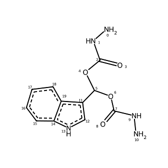 NNC(=O)OC(OC(=O)NN)c1c[nH]c2ccccc12